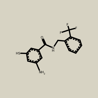 Nc1cc(S)cc(C(=O)NCc2ccccc2C(F)(F)F)c1